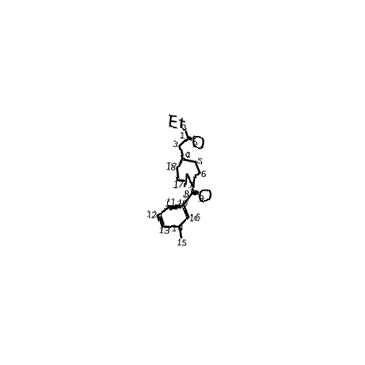 CCC(=O)CC1CCN(C(=O)C2=CC=CC(C)C2)CC1